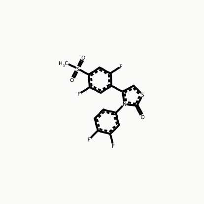 CS(=O)(=O)c1cc(F)c(-c2csc(=O)n2-c2ccc(F)c(F)c2)cc1F